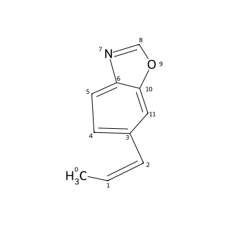 C/C=C\c1ccc2ncoc2c1